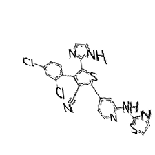 N#Cc1c(-c2ccnc(Nc3nccs3)c2)sc(-c2ncc[nH]2)c1-c1ccc(Cl)cc1Cl